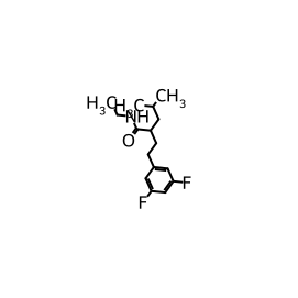 CCNC(=O)C(CCc1cc(F)cc(F)c1)CC(C)C